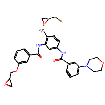 BrCC1CO1.Cc1ccc(NC(=O)c2cccc(N3CCOCC3)c2)cc1NC(=O)c1cccc(OCC2CO2)c1